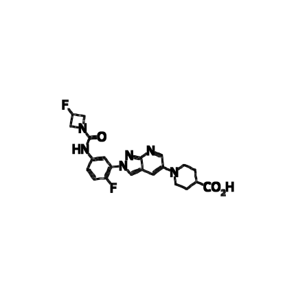 O=C(O)C1CCN(c2cnc3nn(-c4cc(NC(=O)N5CC(F)C5)ccc4F)cc3c2)CC1